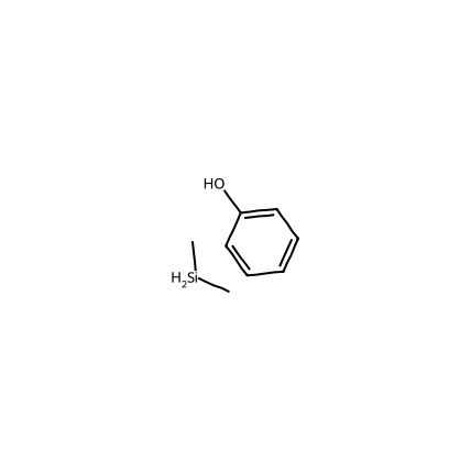 C[SiH2]C.Oc1ccccc1